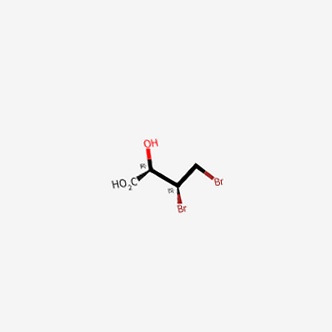 O=C(O)[C@@H](O)[C@H](Br)CBr